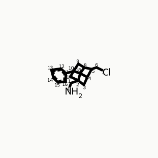 NCC12CC3C(CCl)C4CC(c5ccccc5)(C1)C342